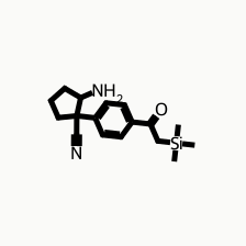 C[Si](C)(C)CC(=O)c1ccc(C2(C#N)CCCC2N)cc1